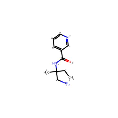 CCC(C)(CN)NC(=O)c1cccnc1